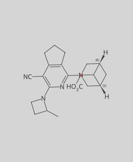 CC1CCN1c1nc(N2C[C@H]3C[C@@H](C2)C3CC(=O)O)c2c(c1C#N)CCC2